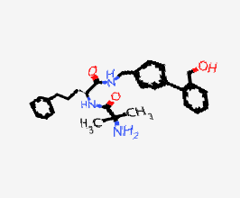 CC(C)(N)C(=O)N[C@H](CCCc1ccccc1)C(=O)NCc1ccc(-c2ccccc2CO)cc1